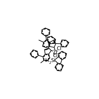 Cc1ccc2c(c1-c1ccccc1)C=C(c1ccccc1)[CH]2[Zr]([Cl])([Cl])([c]1cccc2c1[SiH2]c1ccccc1-2)[CH]1C(c2ccccc2)=Cc2c1ccc(C)c2-c1ccccc1